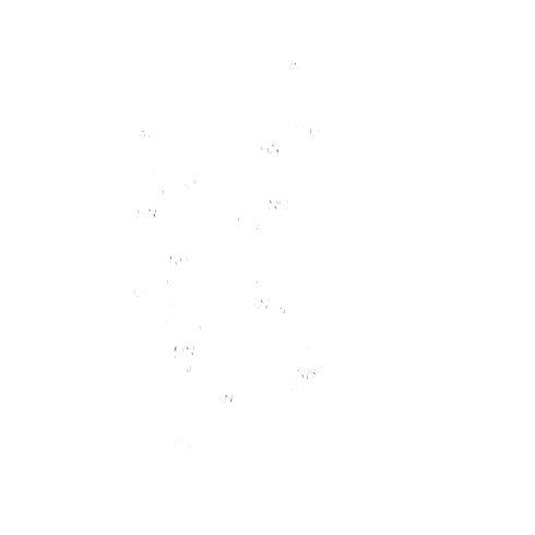 C=CC1=Cc2cc3[nH]c(cc4nc(cc5[nH]c(cc1n2)c(C)c5CCC(=O)NCCNC(=O)CCC(C)=O)C(CCC(=O)NCCNC(=O)CCC(C)=O)=C4C)c(C)c3C